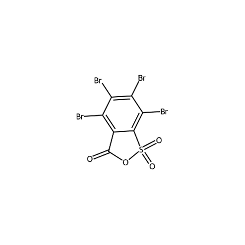 O=C1OS(=O)(=O)c2c(Br)c(Br)c(Br)c(Br)c21